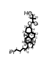 CC(C)CCC[C@@H](C)[C@H]1CC[C@H]2[C@@H]3CC=C4C[C@@H](OC(=O)C(C)(C)CO)CC[C@]4(C)[C@H]3CC[C@]12C